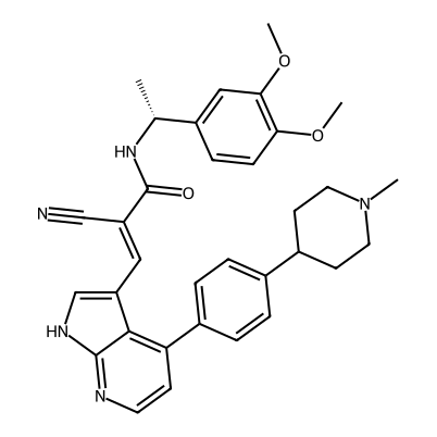 COc1ccc([C@@H](C)NC(=O)/C(C#N)=C/c2c[nH]c3nccc(-c4ccc(C5CCN(C)CC5)cc4)c23)cc1OC